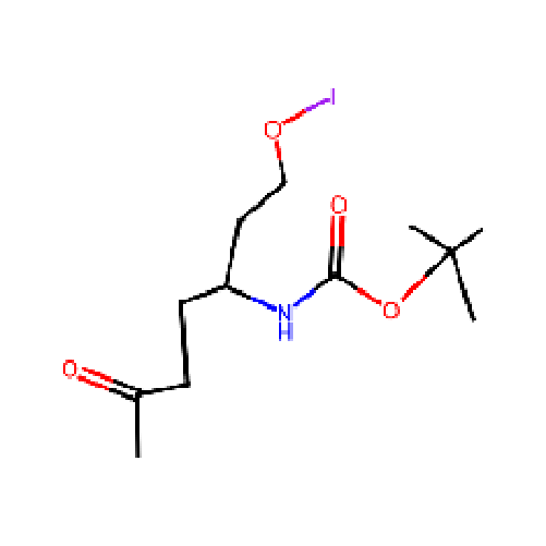 CC(=O)CCC(CCOI)NC(=O)OC(C)(C)C